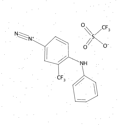 N#[N+]c1ccc(Nc2ccccc2)c(C(F)(F)F)c1.O=S(=O)([O-])C(F)(F)F